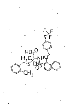 Cc1ccccc1CSC(C)(C)C(NC(=O)c1ccc2ccccc2c1OCc1ccc(SC(F)(F)F)cc1)C(=O)O